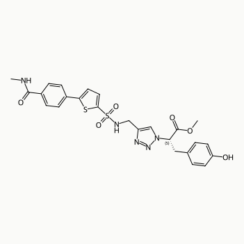 CNC(=O)c1ccc(-c2ccc(S(=O)(=O)NCc3cn([C@@H](Cc4ccc(O)cc4)C(=O)OC)nn3)s2)cc1